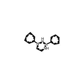 c1ccc(-n2cc[nH]n(-c3ccccc3)[nH]2)cc1